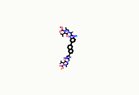 CCCN(Cc1nc(-c2ccc3cc(-c4ccc5[nH]c(C(C)N(CCC)C(=O)C(NC(=O)OC)C(C)C)nc5c4)ccc3c2)c[nH]1)C(=O)C(NC(=O)OC)C(C)C